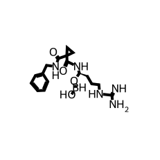 N=C(N)NCCC[C@H](NC(=O)C1(C(=O)NCc2ccccc2)CC1)OBO